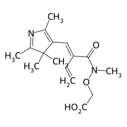 C=C/C(=C\C1=C(C)N=C(C)C1(C)C)C(=O)N(C)OCC(=O)O